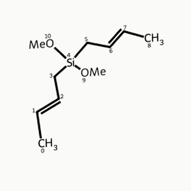 C/C=C/C[Si](C/C=C/C)(OC)OC